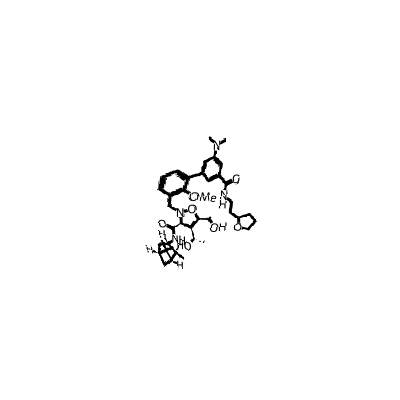 COc1c(CN2O[C@@H](CO)[C@@H]([C@H](C)O)[C@H]2C(=O)N[C@H]2C[C@H]3C[C@@H]([C@@H]2C)C3(C)C)cccc1-c1cc(C(=O)NCCC2CCCO2)cc(N(C)C)c1